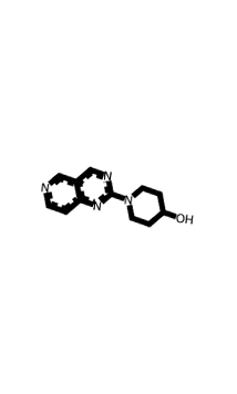 OC1CCN(c2ncc3cnccc3n2)CC1